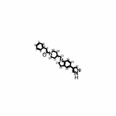 O=C(Cc1ccccc1)N1CCC(CN2CCc3cc(-c4cn[nH]c4)ccc32)CC1